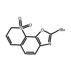 CC(C)(C)c1nc2ccc3c(c2o1)S(=O)(=O)CC=C3